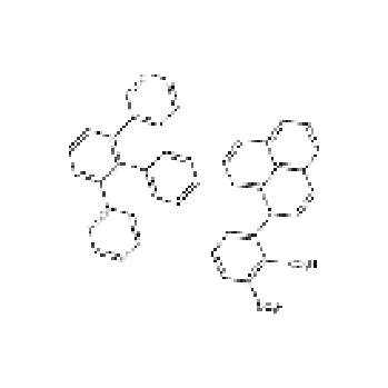 O=C(O)c1cccc(C2C=Cc3cccc4cccc2c34)c1C(=O)O.c1ccc(-c2cccc(-c3ccccc3)c2-c2ccccc2)cc1